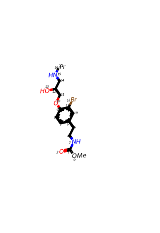 COC(=O)NCCc1ccc(OCC(O)CNC(C)C)c(Br)c1